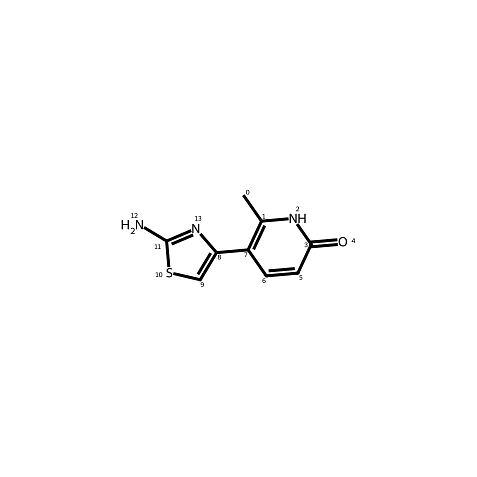 Cc1[nH]c(=O)ccc1-c1csc(N)n1